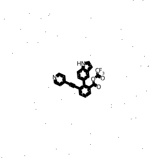 O=C(OC(=O)C(F)(F)F)c1cccc(C#Cc2ccncc2)c1-c1ccc2[nH]ccc2c1